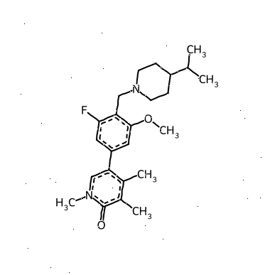 COc1cc(-c2cn(C)c(=O)c(C)c2C)cc(F)c1CN1CCC(C(C)C)CC1